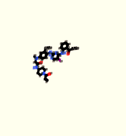 C=CC(=O)N1CCC(NC(=O)CN(C)c2ccc(Nc3ncc(I)c(Nc4ccccc4C(=O)NC)n3)c(OC)c2)CC1